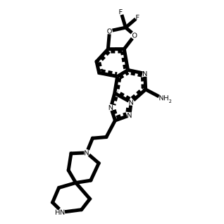 Nc1nc2c3c(ccc2c2nc(CCN4CCC5(CCNCC5)CC4)nn12)OC(F)(F)O3